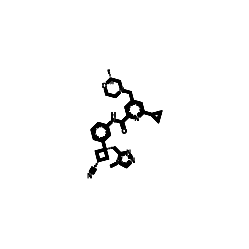 C[C@@H]1CN(Cc2cc(C(=O)Nc3cccc([C@]4(Cc5nncn5C)C[C@@H](C#N)C4)c3)nc(C3CC3)c2)CCO1